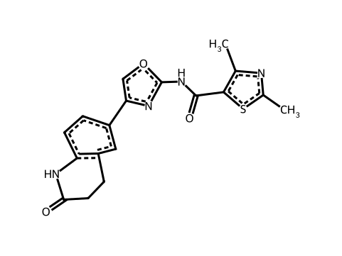 Cc1nc(C)c(C(=O)Nc2nc(-c3ccc4c(c3)CCC(=O)N4)co2)s1